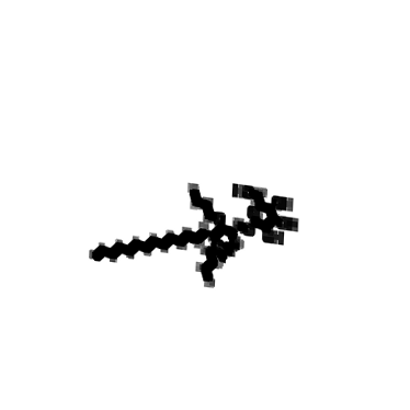 CCCCCCCCCCCC=CC[C@@H](OCCCC)[C@@H](OCCCC)[C@H](CO[C@H]1OC(CO)[C@H](O)C(O)C1O)N=[N+]=[N-]